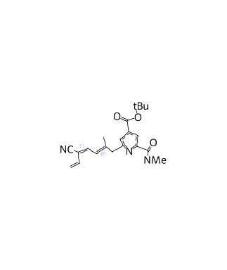 C=C/C(C#N)=C\C=C(/C)Cc1cc(C(=O)OC(C)(C)C)cc(C(=O)NC)n1